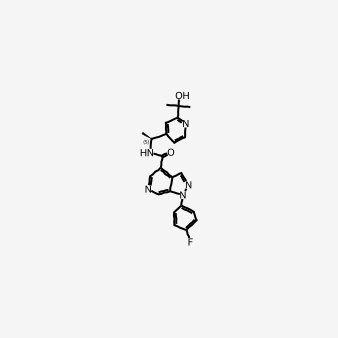 C[C@H](NC(=O)c1cncc2c1cnn2-c1ccc(F)cc1)c1ccnc(C(C)(C)O)c1